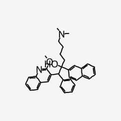 COc1nc2ccccc2cc1C(c1ccccc1)C(O)(CCCCN(C)C)c1ccc2ccccc2c1